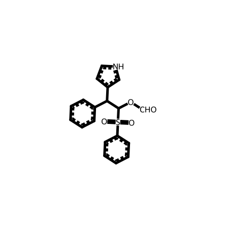 O=COC(C(c1ccccc1)c1cc[nH]c1)S(=O)(=O)c1ccccc1